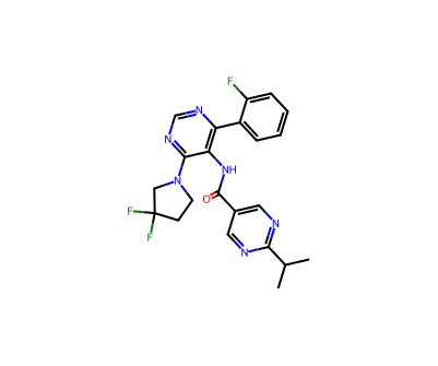 CC(C)c1ncc(C(=O)Nc2c(-c3ccccc3F)ncnc2N2CCC(F)(F)C2)cn1